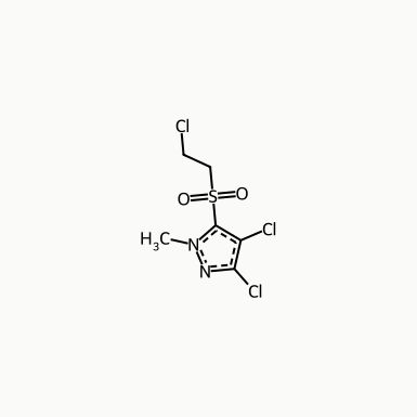 Cn1nc(Cl)c(Cl)c1S(=O)(=O)CCCl